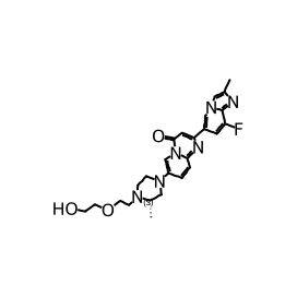 Cc1cn2cc(-c3cc(=O)n4cc(N5CCN(CCOCCO)[C@@H](C)C5)ccc4n3)cc(F)c2n1